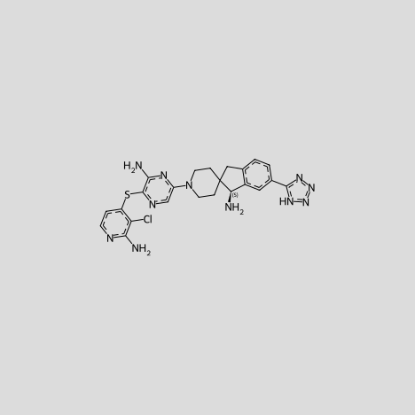 Nc1nc(N2CCC3(CC2)Cc2ccc(-c4nnn[nH]4)cc2[C@H]3N)cnc1Sc1ccnc(N)c1Cl